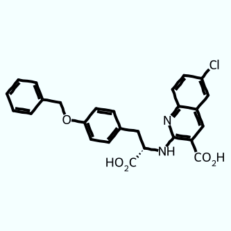 O=C(O)c1cc2cc(Cl)ccc2nc1N[C@@H](Cc1ccc(OCc2ccccc2)cc1)C(=O)O